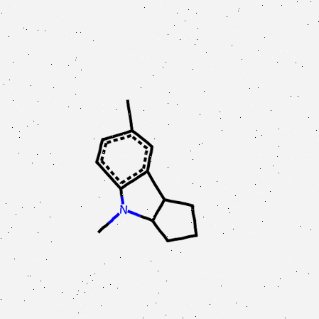 Cc1ccc2c(c1)C1CCCC1N2C